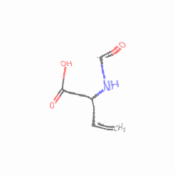 C=CC(N[C]=O)C(=O)O